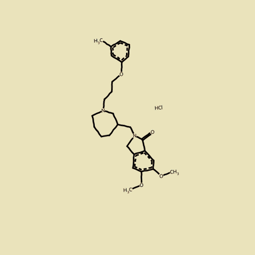 COc1cc2c(cc1OC)C(=O)N(CC1CCCCN(CCCOc3cccc(C)c3)C1)C2.Cl